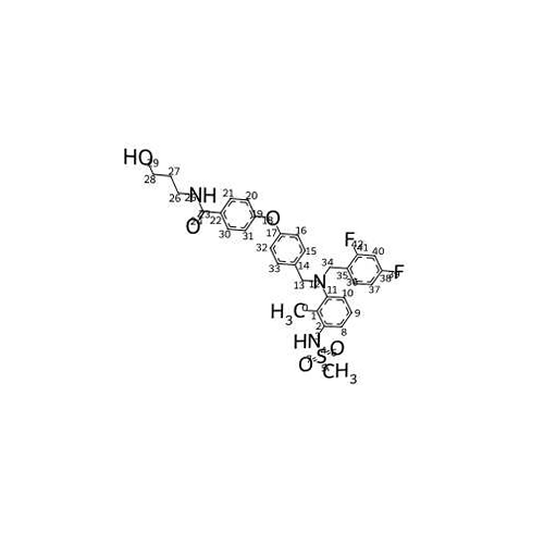 Cc1c(NS(C)(=O)=O)cccc1N(Cc1ccc(Oc2ccc(C(=O)NCCCO)cc2)cc1)Cc1ccc(F)cc1F